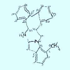 Cc1cccc2ccn(CCc3ccccc3-c3ccccc3CN)c12